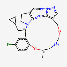 C[C@H]1CNCOCc2cnn3cc4c(nc23)N(CC4)[C@H](CC2CC2)c2cc(F)ccc2O1